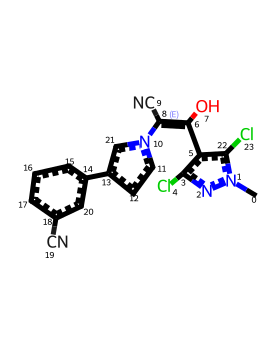 Cn1nc(Cl)c(/C(O)=C(/C#N)n2ccc(-c3cccc(C#N)c3)c2)c1Cl